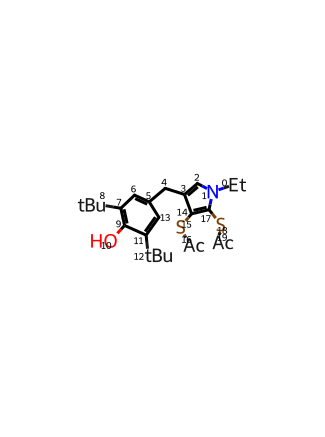 CCn1cc(Cc2cc(C(C)(C)C)c(O)c(C(C)(C)C)c2)c(SC(C)=O)c1SC(C)=O